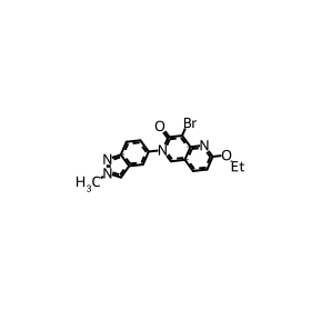 CCOc1ccc2cn(-c3ccc4nn(C)cc4c3)c(=O)c(Br)c2n1